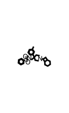 Cc1ccc2c(c1)C1(CCN(C3CC4CCCCC43)CC1)CN2S(=O)(=O)c1ccccc1